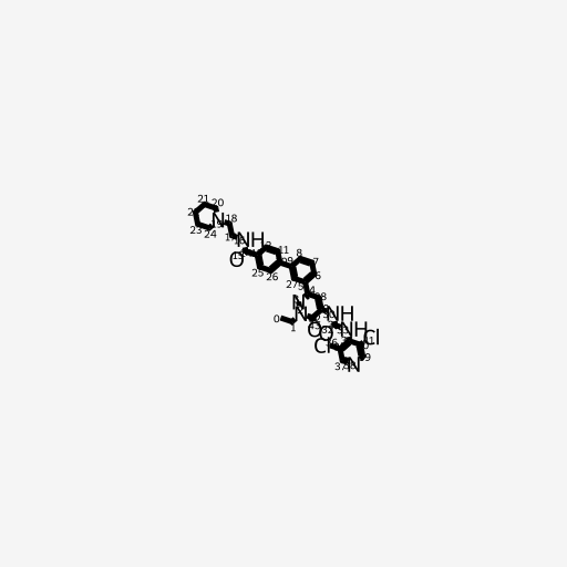 CCn1nc(-c2cccc(-c3ccc(C(=O)NCCN4CCCCC4)cc3)c2)cc(NC(=O)Nc2c(Cl)cncc2Cl)c1=O